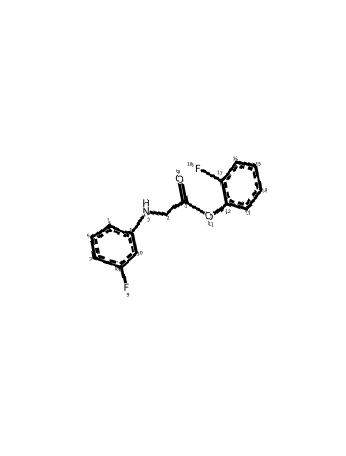 O=C(CNc1cccc(F)c1)Oc1ccccc1F